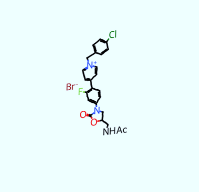 CC(=O)NCC1CN(c2ccc(-c3cc[n+](Cc4ccc(Cl)cc4)cc3)c(F)c2)C(=O)O1.[Br-]